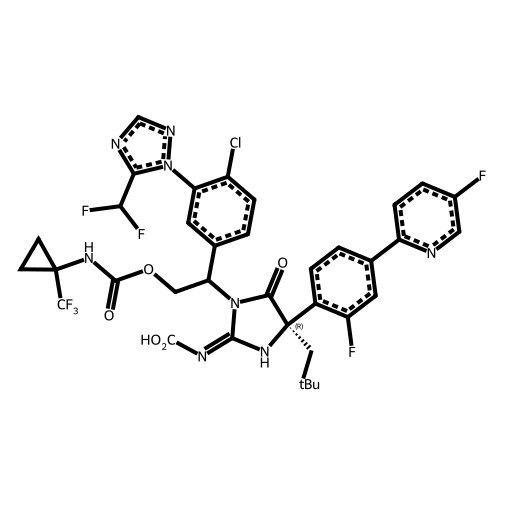 CC(C)(C)C[C@]1(c2ccc(-c3ccc(F)cn3)cc2F)NC(=NC(=O)O)N(C(COC(=O)NC2(C(F)(F)F)CC2)c2ccc(Cl)c(-n3ncnc3C(F)F)c2)C1=O